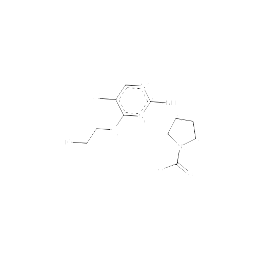 O=C(O)N1CC[C@@H](Nc2ncc(Cl)c(OCCO)n2)C1